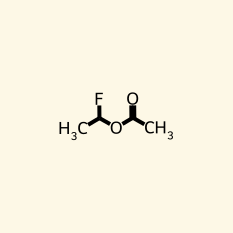 CC(=O)OC(C)F